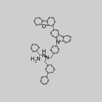 NC(NN(Cc1ccc(-n2c3ccccc3c3cc(-c4cccc5c4oc4ccccc45)ccc32)cc1)Cc1cccc(-c2ccccc2)c1)c1ccccc1